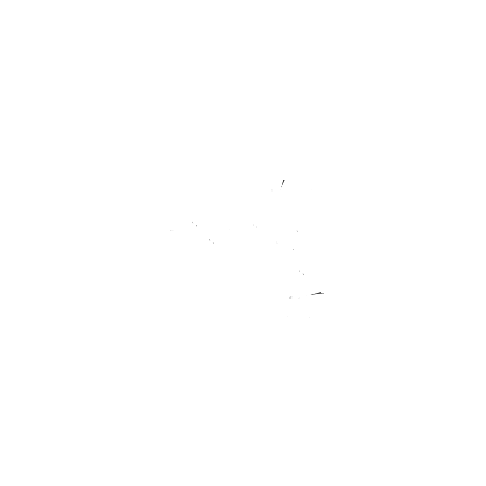 CCOC(=O)[C@@]12C[C@H]1/C=C\CCCCN(NC(=O)OC(C)(C)C)C(=O)N1C[C@@H](OS(C)(=O)=O)C[C@H]1C(=O)N2